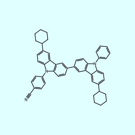 N#Cc1ccc(-n2c3ccc(-c4ccc5c(c4)c4cc(C6CCCCC6)ccc4n5-c4ccccc4)cc3c3cc(C4CCCCC4)ccc32)cc1